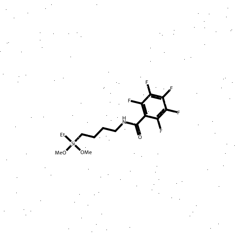 CC[Si](CCCCNC(=O)c1c(F)c(F)c(F)c(F)c1F)(OC)OC